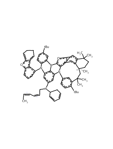 C/C=C\C=C/CN(c1cc2c3c(c1)N(c1cccc4oc5c(c14)=CCCC=5)c1ccc(C(C)(C)C)cc1B3c1oc3cc4c5cc3c1N2c1ccc(C(C)(C)C)c(c1)C(C)(C)C[C@]5(C)CCC4(C)C)C1C=CC=CC1